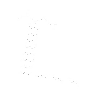 C=C.C=C.C=C.C=C.C=C.C=C.C=C.C=C.C=C.C=C.C=C.COCCO